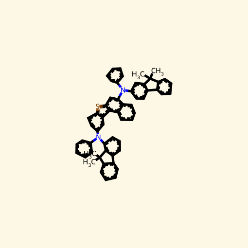 CC1(C)c2ccccc2-c2ccc(N(c3ccccc3)c3cc4sc5ccc(N(c6ccccc6)c6cccc7c6C(C)(C)c6ccccc6-7)cc5c4c4ccccc34)cc21